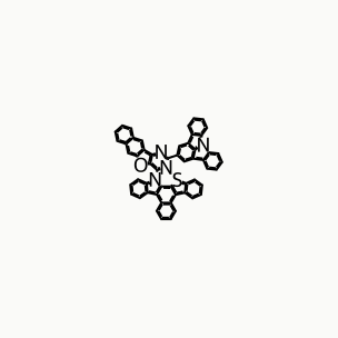 c1ccc2cc3c(cc2c1)oc1c(-n2c4ccccc4c4c5ccccc5c5c6ccccc6sc5c42)nc(-c2cc4c5ccccc5n5c6ccccc6c(c2)c45)nc13